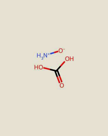 O=C(O)O.[NH3+][O-]